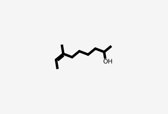 CC=C(C)CCCCC(C)O